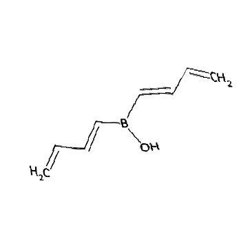 C=CC=CB(O)C=CC=C